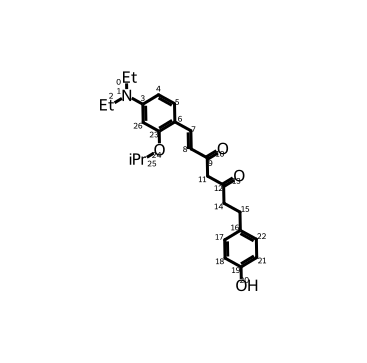 CCN(CC)c1ccc(/C=C/C(=O)CC(=O)CCc2ccc(O)cc2)c(OC(C)C)c1